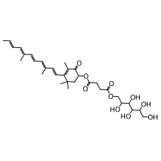 C/C=C/C=C(C)/C=C/C=C(C)/C=C/C1=C(C)C(=O)C(OC(=O)CCC(=O)OCC(O)C(O)C(O)C(O)CO)CC1(C)C